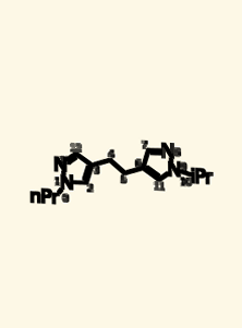 CCCn1cc(CCc2cnn(C(C)C)c2)cn1